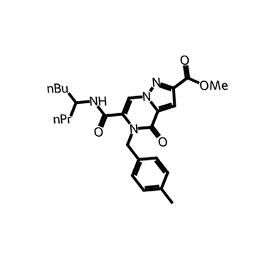 CCCCC(CCC)NC(=O)c1cn2nc(C(=O)OC)cc2c(=O)n1Cc1ccc(C)cc1